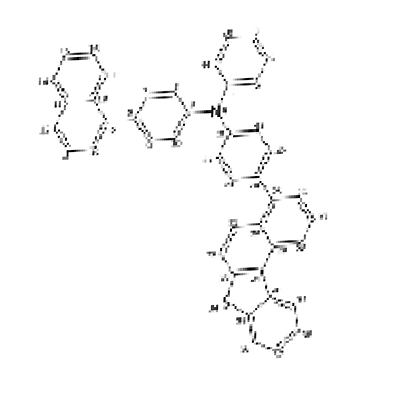 c1ccc(N(c2ccc(-c3cccc4ccccc34)cc2)c2ccc(-c3cccc4c3ccc3sc5ccccc5c34)cc2)cc1